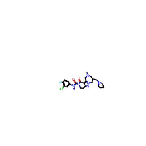 CN1Cc2c3c(nn2CC(CN2CCCC2)C1)CCN(C(=O)Nc1ccc(F)c(Cl)c1)C3=O